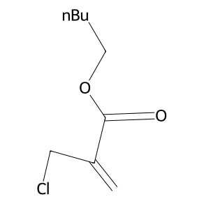 C=C(CCl)C(=O)OCCCCC